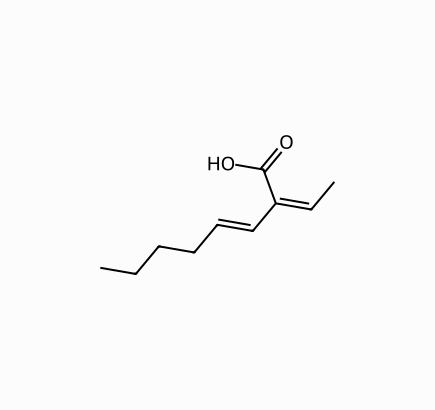 CC=C(C=CCCCC)C(=O)O